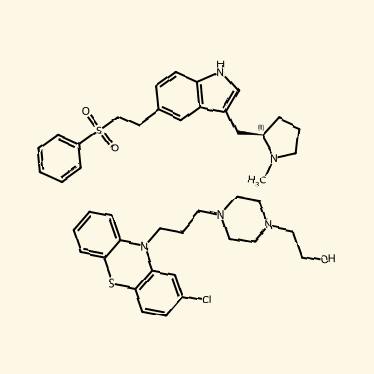 CN1CCC[C@@H]1Cc1c[nH]c2ccc(CCS(=O)(=O)c3ccccc3)cc12.OCCN1CCN(CCCN2c3ccccc3Sc3ccc(Cl)cc32)CC1